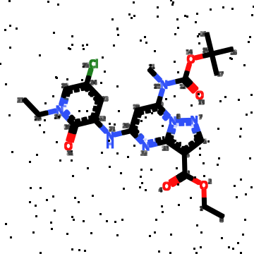 CCOC(=O)c1cnn2c(N(C)C(=O)OC(C)(C)C)cc(Nc3cc(Cl)cn(CC)c3=O)nc12